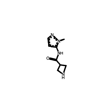 Cn1nccc1NC(=O)C1CNC1